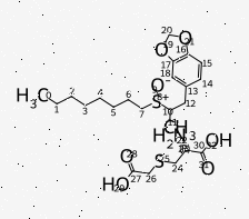 CCCCCCCC[S+]([O-])C(C)Cc1ccc2c(c1)OCO2.N[C@@H](CSCC(=O)O)C(=O)O